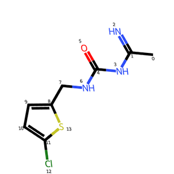 CC(=N)NC(=O)NCc1ccc(Cl)s1